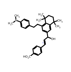 CN(C)c1ccc(CCc2cc(C(O)/C=C/c3ccc(C(=O)O)cc3)cc3c2C(C)(C)CCC3(C)C)cc1